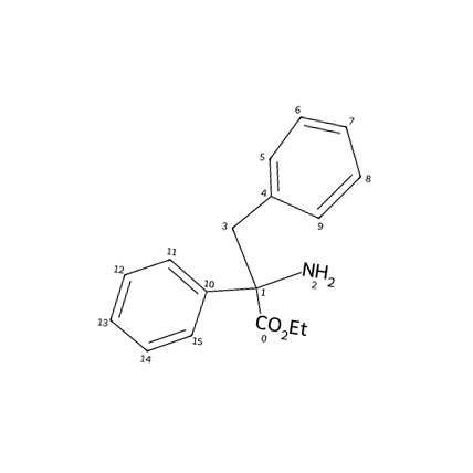 CCOC(=O)C(N)(Cc1ccccc1)c1ccccc1